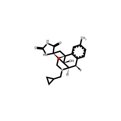 Cc1ccc2c(c1)[C@]13CCN(CC4CC4)[C@H]([C@@H]2F)[C@]1(O)CC[C@@]1(C3)NC(=O)NC1=O